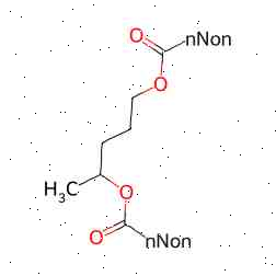 CCCCCCCCCC(=O)OCCCC(C)OC(=O)CCCCCCCCC